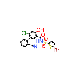 N#Cc1ccccc1-c1cc(C(=O)NS(=O)(=O)c2ccc(Br)s2)c(O)cc1Cl